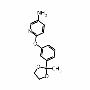 CC1(c2cccc(Oc3ccc(N)cn3)c2)OCCO1